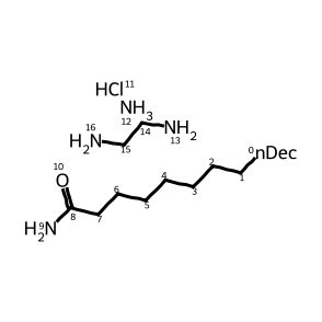 CCCCCCCCCCCCCCCCCC(N)=O.Cl.N.NCCN